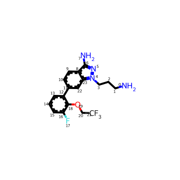 NCCCn1nc(N)c2ccc(-c3cccc(F)c3OCC(F)(F)F)cc21